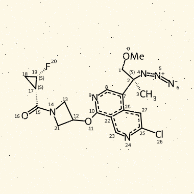 COC[C@@](C)(N=[N+]=[N-])c1cnc(OC2CN(C(=O)[C@@H]3C[C@@H]3F)C2)c2cnc(Cl)cc12